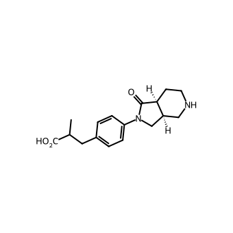 CC(Cc1ccc(N2C[C@@H]3CNCC[C@@H]3C2=O)cc1)C(=O)O